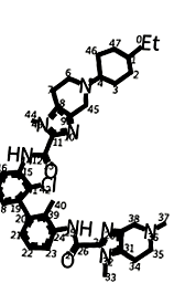 CCC1CCC(N2CCc3c(nc(C(=O)Nc4cccc(-c5cccc(NC(=O)c6nc7c(n6C)CCN(C)C7)c5C)c4Cl)n3C)C2)CC1